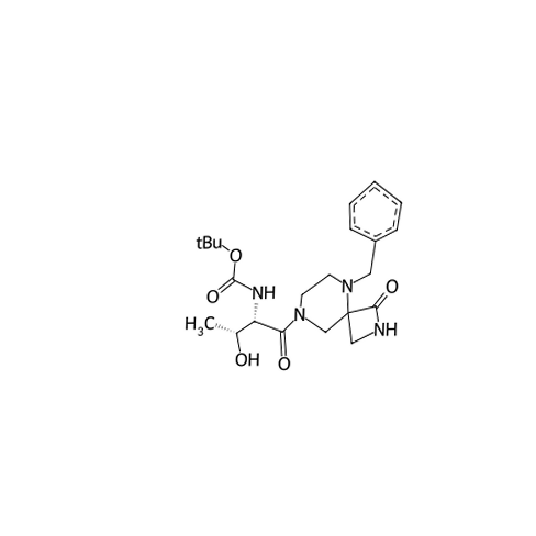 C[C@@H](O)[C@H](NC(=O)OC(C)(C)C)C(=O)N1CCN(Cc2ccccc2)C2(CNC2=O)C1